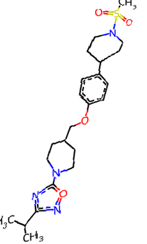 CC(C)c1noc(N2CCC(COc3ccc(C4CCN(S(C)(=O)=O)CC4)cc3)CC2)n1